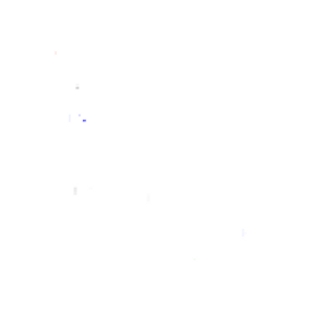 Cc1c(C(=O)c2cc(C)c3[nH]c(=O)oc3c2)ccnc1Cl